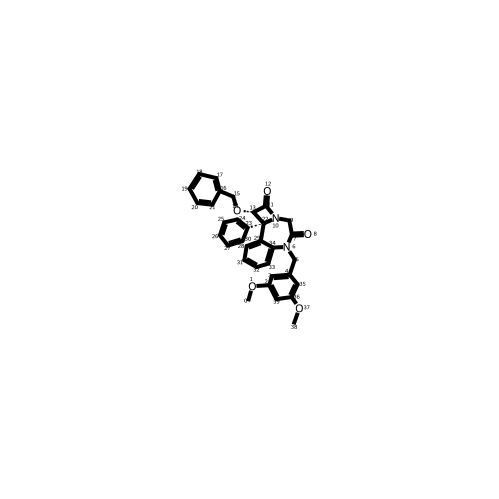 COc1cc(CN2C(=O)CN3C(=O)[C@@H](OCc4ccccc4)[C@]3(c3ccccc3)c3ccccc32)cc(OC)c1